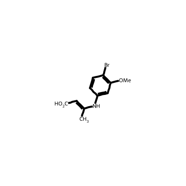 COc1cc(NC(C)=CC(=O)O)ccc1Br